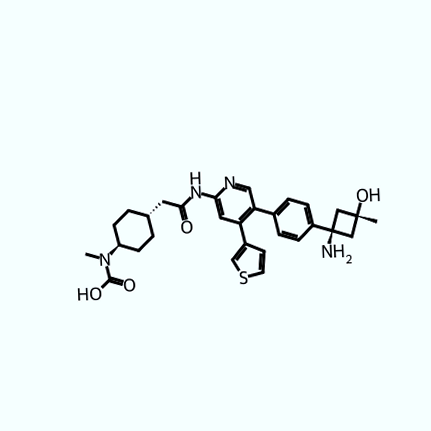 CN(C(=O)O)[C@H]1CC[C@H](CC(=O)Nc2cc(-c3ccsc3)c(-c3ccc([C@]4(N)C[C@](C)(O)C4)cc3)cn2)CC1